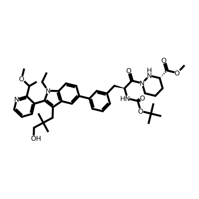 CCn1c(-c2cccnc2C(C)OC)c(CC(C)(C)CO)c2cc(-c3cccc(C[C@H](NC(=O)OC(C)(C)C)C(=O)N4CCC[C@@H](C(=O)OC)N4)c3)ccc21